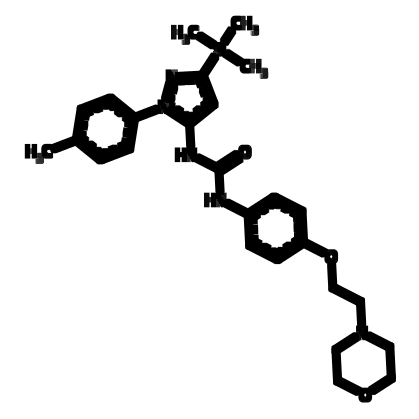 Cc1ccc(-n2nc([Si](C)(C)C)cc2NC(=O)Nc2ccc(OCCN3CCOCC3)cc2)cc1